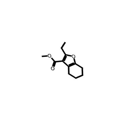 CCc1oc2c(c1C(=O)OC)CCCC2